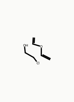 C=COC=C.OCCCl